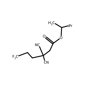 CC(C)C(C)OC(=O)CC(C#N)(C#N)CCC(F)(F)F